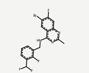 Cc1nc(NCc2cccc(C(F)F)c2F)c2cc(Br)c(F)cc2n1